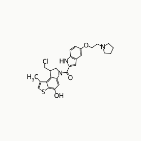 Cc1csc2c(O)cc3c(c12)C(CCl)CN3C(=O)c1cc2cc(OCCN3CCCC3)ccc2[nH]1